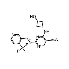 N#Cc1cnc(NCc2cnccc2C(F)(F)F)nc1N[C@H]1C[C@H](O)C1